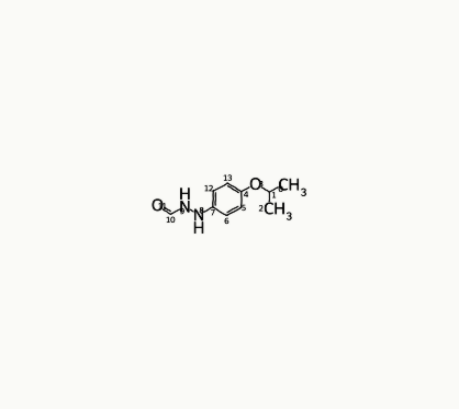 CC(C)Oc1ccc(NNC=O)cc1